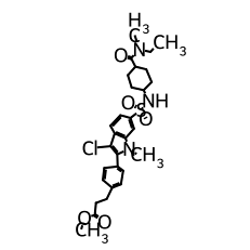 CCN(C)C(=O)C1CCC(NS(=O)(=O)c2ccc3c(Cl)c(-c4ccc(CCC(=O)OC)cc4)n(C)c3c2)CC1